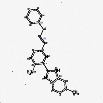 Cc1ccc2nc(-c3nc(/C=C/Cc4ccccc4)cnc3N)[nH]c2c1